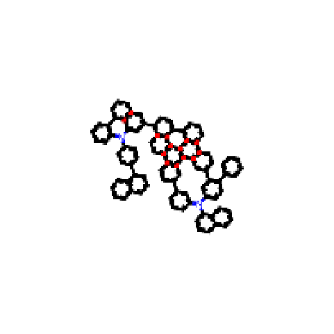 c1ccc(-c2ccc(-c3cccc(N(c4ccc(-c5ccccc5)c(-c5ccc(-c6cccc(-c7ccc(-c8cccc(N(c9ccc(-c%10cccc%11ccccc%10%11)cc9)c9ccccc9-c9ccccc9)c8)cc7-c7ccccc7)c6)cc5)c4)c4cccc5ccccc45)c3)cc2-c2ccccc2)cc1